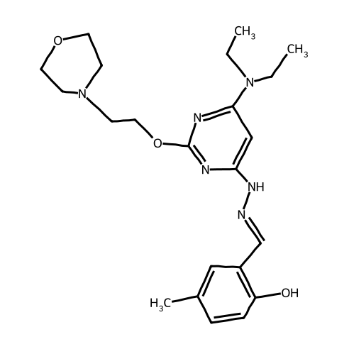 CCN(CC)c1cc(NN=Cc2cc(C)ccc2O)nc(OCCN2CCOCC2)n1